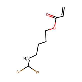 C=CC(=O)OCCCC[SiH2]C(Br)Br